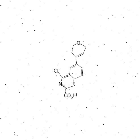 O=C(O)c1cc2ccc(C3=CCOCC3)cc2c(Cl)n1